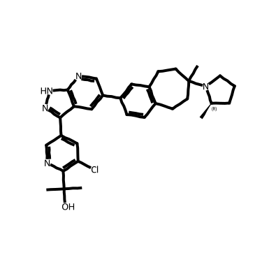 C[C@@H]1CCCN1C1(C)CCc2ccc(-c3cnc4[nH]nc(-c5cnc(C(C)(C)O)c(Cl)c5)c4c3)cc2CC1